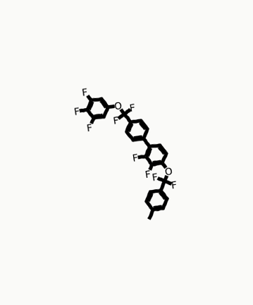 Cc1ccc(C(F)(F)Oc2ccc(-c3ccc(C(F)(F)Oc4cc(F)c(F)c(F)c4)cc3)c(F)c2F)cc1